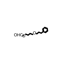 O=COCCCCOCCCc1ccccc1